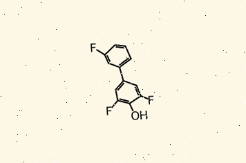 Oc1c(F)cc(-c2cccc(F)c2)cc1F